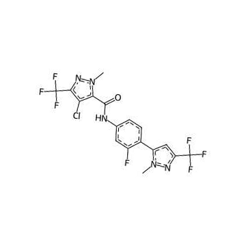 Cn1nc(C(F)(F)F)cc1-c1ccc(NC(=O)c2c(Cl)c(C(F)(F)F)nn2C)cc1F